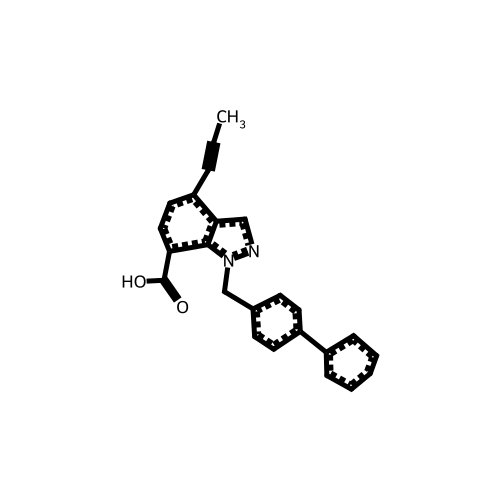 CC#Cc1ccc(C(=O)O)c2c1cnn2Cc1ccc(-c2ccccc2)cc1